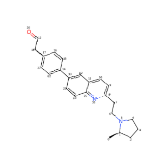 C[C@@H]1CCCN1CCc1ccc2cc(-c3ccc(CC=O)cc3)ccc2n1